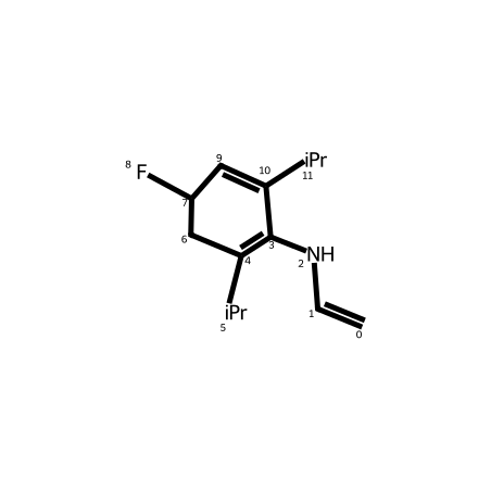 C=CNC1=C(C(C)C)CC(F)C=C1C(C)C